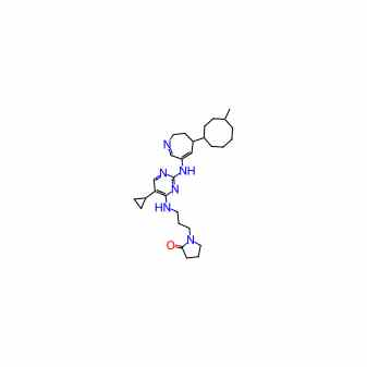 CC1CCCCC(C2C=C(Nc3ncc(C4CC4)c(NCCCN4CCCC4=O)n3)C=NCC2)CC1